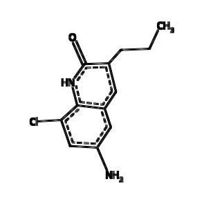 CCCc1cc2cc(N)cc(Cl)c2[nH]c1=O